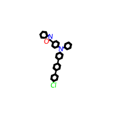 Clc1ccc(-c2ccc(-c3ccc(N(c4ccccc4)c4ccc(-c5nc6ccccc6o5)cc4)cc3)cc2)cc1